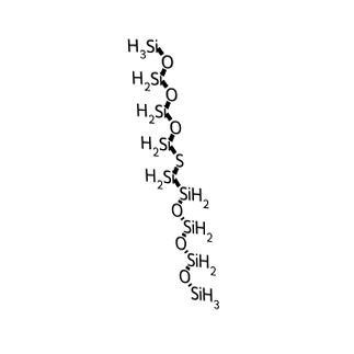 [SiH3]O[SiH2]O[SiH2]O[SiH2][SiH2]S[SiH2]O[SiH2]O[SiH2]O[SiH3]